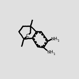 CC12CCC(C)(CC1)c1cc(N)c(N)cc12